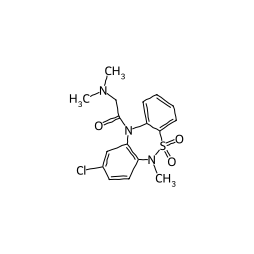 CN(C)CC(=O)N1c2cc(Cl)ccc2N(C)S(=O)(=O)c2ccccc21